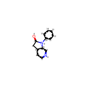 O=C1Cc2ccncc2N1c1ccccc1